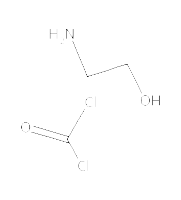 NCCO.O=C(Cl)Cl